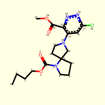 CCCCOC(=O)N1CCCC12CCN(c1cc(Cl)nnc1C(=O)OC)C2